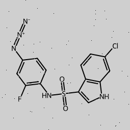 [N-]=[N+]=Nc1ccc(NS(=O)(=O)c2c[nH]c3cc(Cl)ccc23)c(F)c1